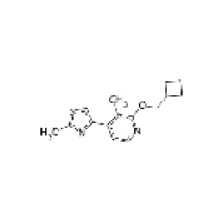 Cc1nc(-c2ccnc(OCC3CCC3)c2C)cs1